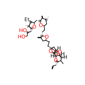 C=CC[C@@H]1O[C@H]2[C@H]3O[C@]4(CCC5CC(=C)[C@H](CCC6C[C@@H](C)C(=C)[C@@H](CC7O[C@H](C[C@H](O)CO)[C@H](C)[C@H]7CC)O6)O5)C[C@H]3O[C@H]2[C@@H](O4)C1C